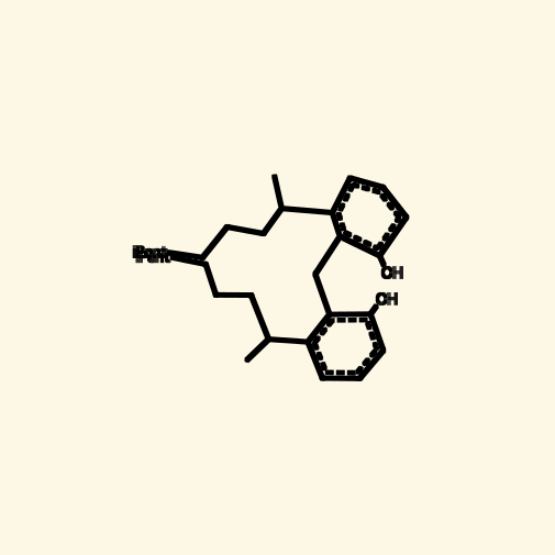 CCCC(C)CCCC(C)c1cccc(O)c1Cc1c(O)cccc1C(C)CCCC(C)CCC